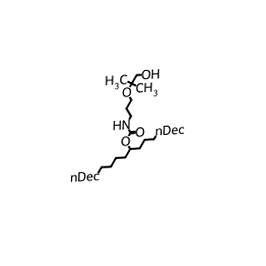 CCCCCCCCCCCCCCC(CCCCCCCCCCCCC)OC(=O)NCCCOC(C)(C)CO